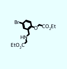 CCOC(=O)CNCc1cc(Br)ccc1OCC(=O)OCC